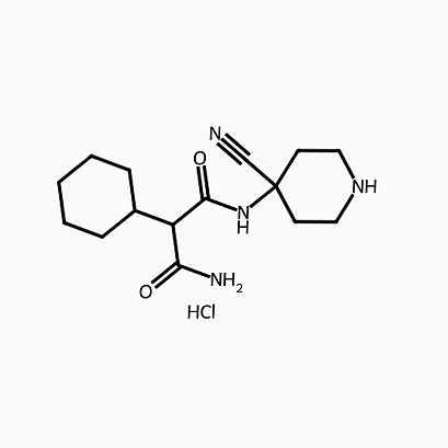 Cl.N#CC1(NC(=O)C(C(N)=O)C2CCCCC2)CCNCC1